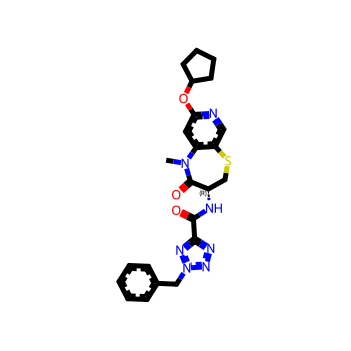 CN1C(=O)[C@@H](NC(=O)c2nnn(Cc3ccccc3)n2)CSc2cnc(OC3CCCC3)cc21